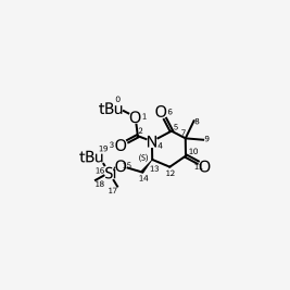 CC(C)(C)OC(=O)N1C(=O)C(C)(C)C(=O)C[C@H]1CO[Si](C)(C)C(C)(C)C